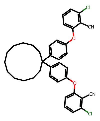 N#Cc1c(Cl)cccc1Oc1ccc(C2(c3ccc(Oc4cccc(Cl)c4C#N)cc3)CCCCCCCCCCC2)cc1